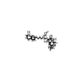 COCCN(CCCCc1ccc2c(n1)NCCC2)CC[C@H](Nc1cc(C(F)(F)F)nc(C)n1)C(=O)O